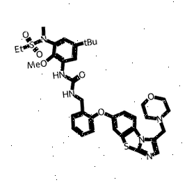 CCS(=O)(=O)N(C)c1cc(C(C)(C)C)cc(NC(=O)NCc2ccccc2Oc2ccc3c(c2)sc2ncc(CN4CCOCC4)n23)c1OC